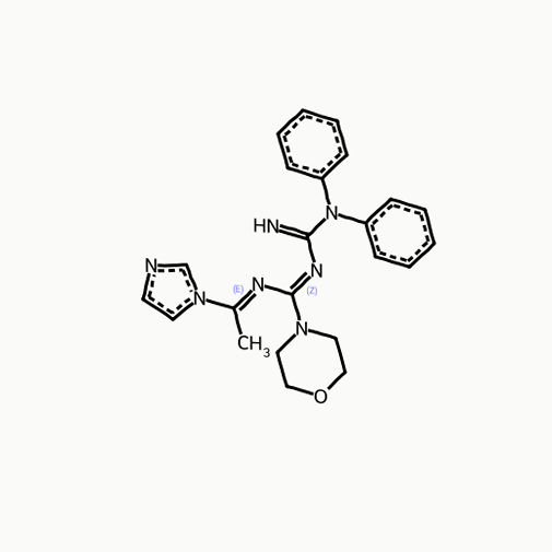 C/C(=N\C(=N/C(=N)N(c1ccccc1)c1ccccc1)N1CCOCC1)n1ccnc1